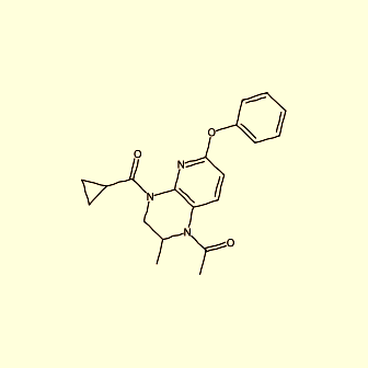 CC(=O)N1c2ccc(Oc3ccccc3)nc2N(C(=O)C2CC2)CC1C